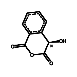 O=C1OC(=O)[C@H](O)c2ccccc21